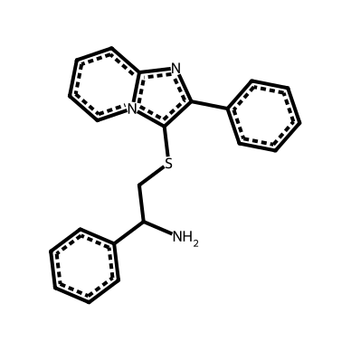 NC(CSc1c(-c2ccccc2)nc2ccccn12)c1ccccc1